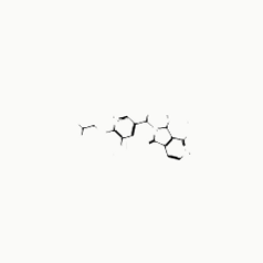 C=C1c2ccnc(Cl)c2C(C)N1C(C)c1cnc(OCC(F)F)c(C)c1